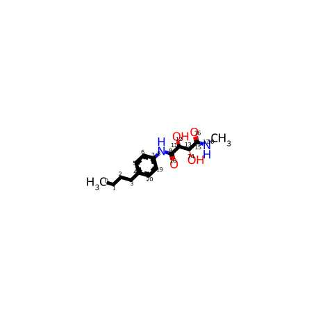 CCCCc1ccc(NC(=O)C(O)[C@@H](O)C(=O)NC)cc1